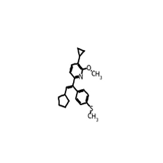 COc1nc(C(=CC2CCCC2)c2ccc(SC)cc2)ccc1C1CC1